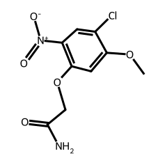 COc1cc(OCC(N)=O)c([N+](=O)[O-])cc1Cl